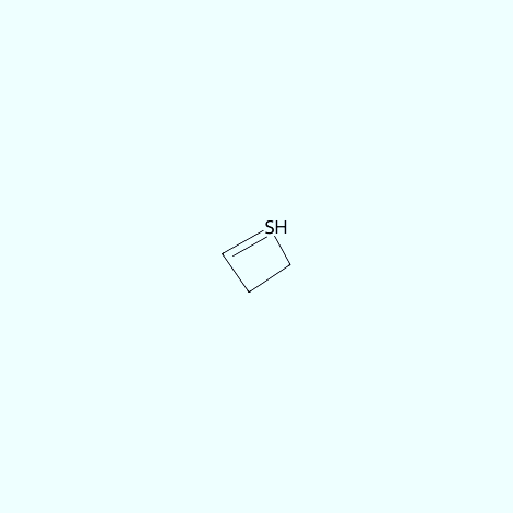 C1=[SH]CC1